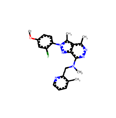 CCOc1ccc(-n2nc3c(N(C)Cc4ncccc4C)nnc(C)c3c2C)c(F)c1